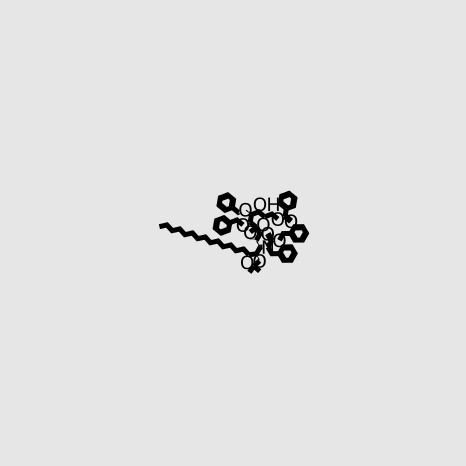 CCCCCCCCCCCCCCC1OC(C)(C)O[C@H]1[C@H](CCC1(OC)OC(COC(=O)c2ccccc2)[C@H](O)[C@@H](OCc2ccccc2)C1OCc1ccccc1)N(Cc1ccccc1)C(=O)OCc1ccccc1